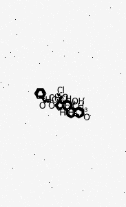 CC(OC1C[C@H]2[C@@H]3CCC4=CC(=O)C=C[C@]4(C)[C@@]3(F)C(O)C[C@]2(C)[C@@]1(O)C(=O)CCl)C(=O)c1ccccc1